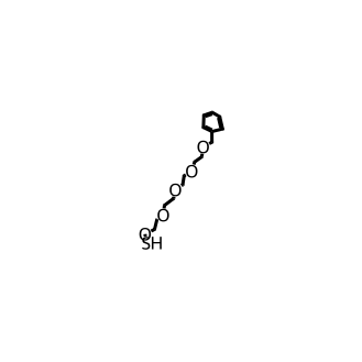 SOCCOCCOCCOCCOCc1ccccc1